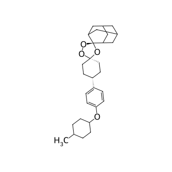 CC1CCC(Oc2ccc([C@H]3CC[C@]4(CC3)OO[C@]3(O4)C4CC5CC(C4)CC3C5)cc2)CC1